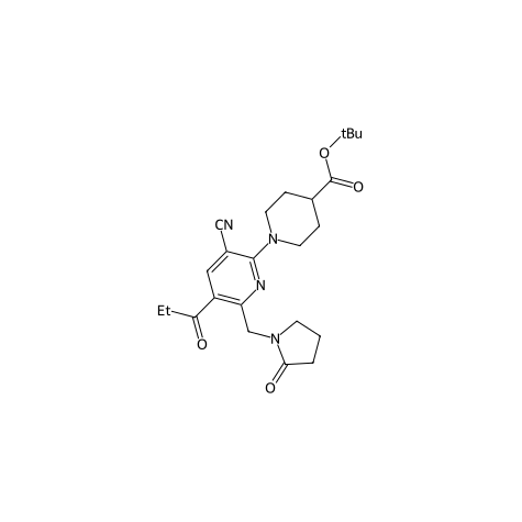 CCC(=O)c1cc(C#N)c(N2CCC(C(=O)OC(C)(C)C)CC2)nc1CN1CCCC1=O